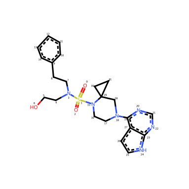 O=S(=O)(N(CCO)CCc1ccccc1)N1CCN(c2ncnc3[nH]ccc23)CC12CC2